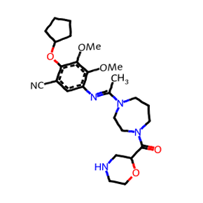 COc1c(N=C(C)N2CCCN(C(=O)C3CNCCO3)CC2)cc(C#N)c(OC2CCCC2)c1OC